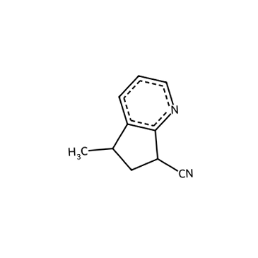 CC1CC(C#N)c2ncccc21